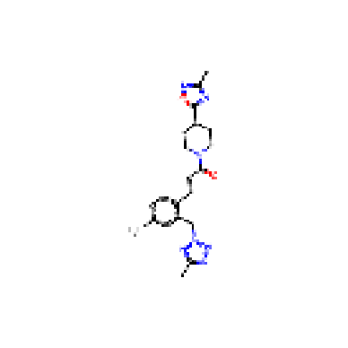 Cc1noc(C2CCN(C(=O)C=Cc3ccc(C(F)(F)F)cc3Cn3nnc(C)n3)CC2)n1